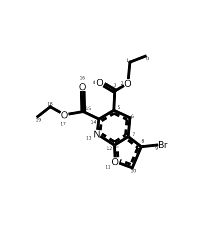 CCOC(=O)c1cc2c(Br)coc2nc1C(=O)OCC